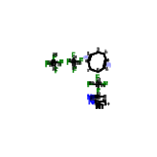 C1=C\CC/C=C\CC/1.CC#N.CC#N.F[B-](F)(F)F.F[B-](F)(F)F.F[B-](F)(F)F.[Rh+3]